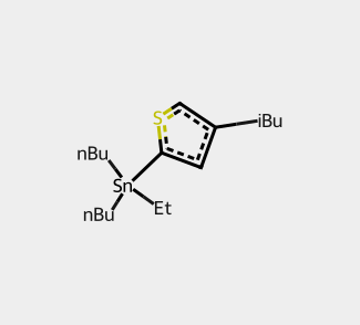 CCC[CH2][Sn]([CH2]C)([CH2]CCC)[c]1cc(C(C)CC)cs1